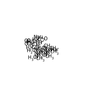 CN(C)c1nc(N(C)C)nc(N(C)C)n1.CN(C)c1nc(N(C)C)nc(N(C)C)n1.C[C@@H]1C[C@H]2[C@@H]3CCC4=CC(=O)C=C[C@]4(C)[C@@]3(F)[C@@H](O)C[C@]2(C)[C@@]1(O)C(=O)COP(=O)([O-])[O-].[Na+].[Na+]